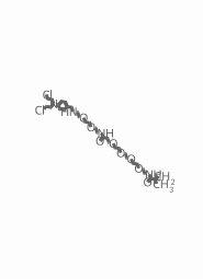 C=C(C)C(=O)NCCOCCOCCOCCOCCC(=O)NCCOCCOCCNCc1ccc(N(CCCl)CCCl)cc1